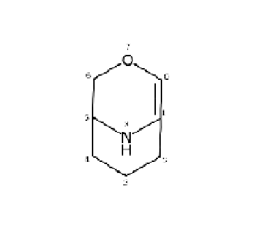 C1=C2CCCC(CO1)N2